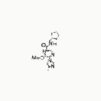 COc1nc(C(=O)NCC2CCCC2)cnc1-n1cnc(C)c1